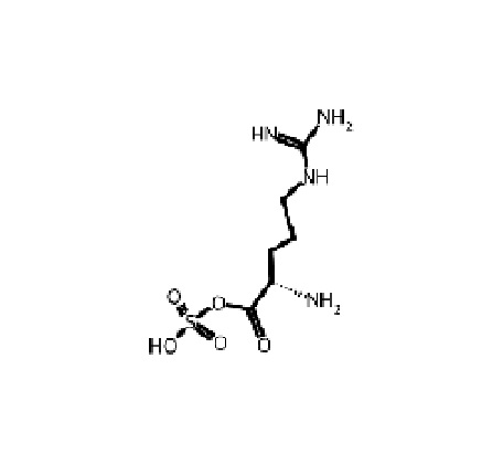 N=C(N)NCCC[C@H](N)C(=O)OS(=O)(=O)O